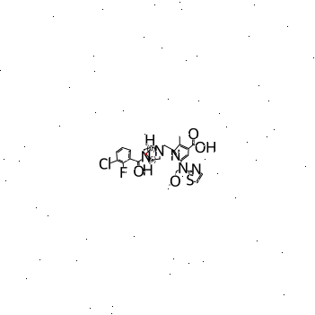 COCN(c1cc(C(=O)O)c(C)c(CN2C[C@@H]3C[C@H]2CN3C(=O)c2cccc(Cl)c2F)n1)c1nccs1